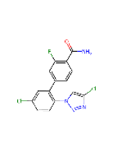 NC(=O)c1ccc(-c2cc(Cl)ccc2-n2cc(Cl)nn2)cc1F